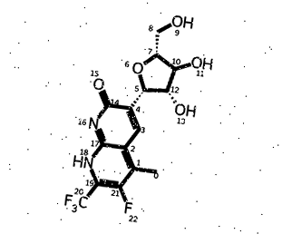 Cc1c2cc([C@@H]3O[C@H](CO)C(O)[C@@H]3O)c(=O)nc-2[nH]c(C(F)(F)F)c1F